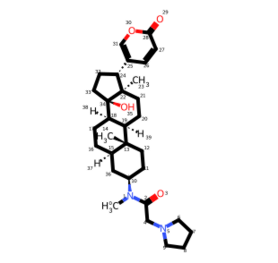 CN(C(=O)CN1CCCC1)[C@@H]1CC[C@]2(C)[C@H](CC[C@@H]3[C@H]2CC[C@]2(C)[C@@H](c4ccc(=O)oc4)CC[C@@]32O)C1